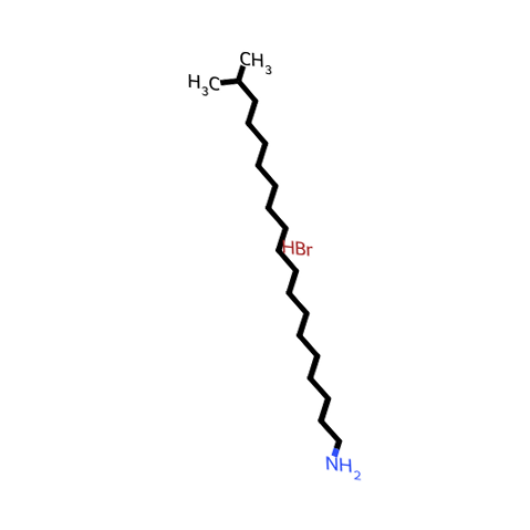 Br.CC(C)CCCCCCCCCCCCCCCCCN